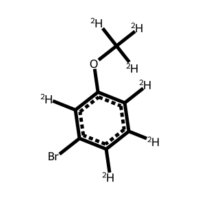 [2H]c1c([2H])c(Br)c([2H])c(OC([2H])([2H])[2H])c1[2H]